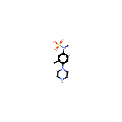 Cc1cc(N(C)S(=O)(=O)O)ccc1N1CC[N]CC1